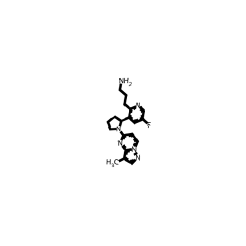 Cc1cnn2ccc(N3CCCC3c3cc(F)cnc3CCCN)nc12